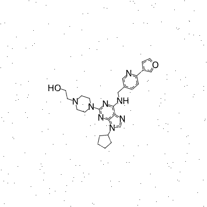 OCCN1CCN(c2nc(NCc3ccc(-c4ccoc4)nc3)c3ncn(C4CCCC4)c3n2)CC1